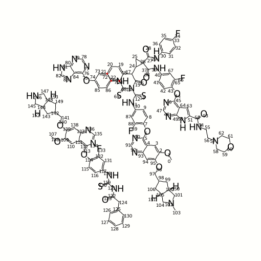 COc1cc2c(Oc3ccc(NC(=S)N(C(=O)C(c4ccccc4)C4CC4(C(=O)Nc4ccc(F)cc4)C(=O)Nc4ccc(Oc5ncnc6[nH]c(C(=O)NCCN7CCOCC7)cc56)c(F)c4)C(=S)Nc4ccc(Oc5ncnc6[nH]cnc56)cc4)cc3F)ncnc2cc1OCC1C[C@@H]2CN(C)C[C@@H]2C1.COc1cc2c(Oc3ccc(NC(=S)NC(=O)Cc4ccccc4)cc3F)ncnc2cc1OCC1C[C@H]2CNC[C@H]2C1